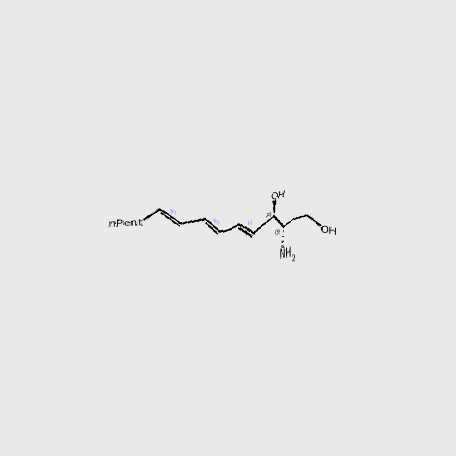 CCCCC/C=C/C=C/C=C/[C@@H](O)[C@@H](N)CO